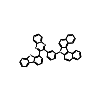 c1cc(-c2nc3ccccc3nc2-c2cccc3c2sc2ccccc23)cc(-n2c3ccc4ccccc4c3c3c4ccccc4ccc32)c1